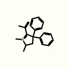 C=C(C)C1=[N+](C)C(C)CC1(c1ccccc1)c1ccccc1